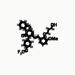 COc1cccc(/C=C/c2nc3sc4ccccc4n3c(=O)c2-c2ccc(OC(F)(F)F)cc2)c1OCCCO